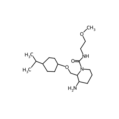 COCCNC(=O)N1CCCC(N)C1COC1CCC(C(C)C)CC1